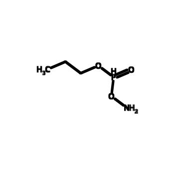 CCCO[PH](=O)ON